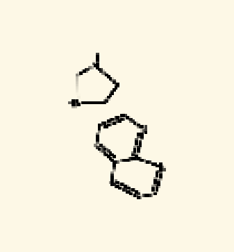 C1CNCN1.c1cnc2ncccc2c1